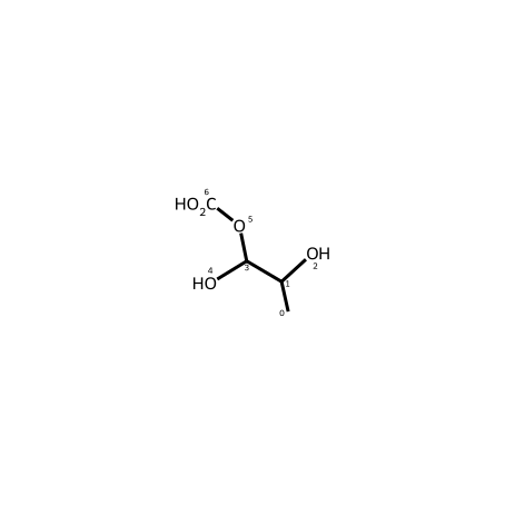 CC(O)C(O)OC(=O)O